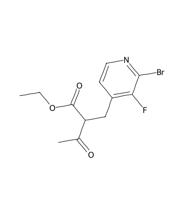 CCOC(=O)C(Cc1ccnc(Br)c1F)C(C)=O